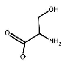 NC(CO)C([O])=O